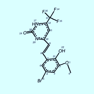 COc1cc(Br)cc(/C=C/c2cc(C(F)(F)F)[nH]c(=O)n2)c1O